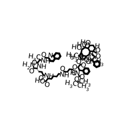 CC(=O)C[C@@]12CO[C@@H]1C[C@H](O)[C@@]1(C)C(=O)[C@H](O)C3=C(C)[C@@H](OC(=O)[C@H](OC(=O)CCC(=O)NCCCCC(NC(=O)CC[C@@H](NC(=O)[C@H](C)NC(=O)c4ccc5ccccc5n4)C(N)=O)C(=O)O)[C@@H](NC(=O)OC(C)(C)C)c4ccccc4)C[C@@](O)([C@@H](OC(=O)c4ccccc4)[C@H]21)C3(C)C